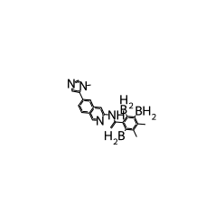 Bc1c(B)c(C(=C)Nc2cc3cc(-c4cncn4C)ccc3cn2)c(B)c(C)c1C